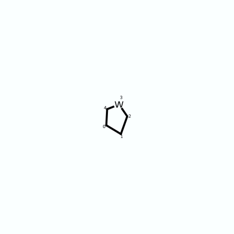 C1C[CH2][W][CH2]1